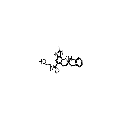 Cc1nc2c3c(c(C(=O)N(C)CCO)cc2n1C)CCC1(Cc2ccccc2C1)N3